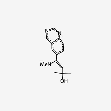 CNC(=CC(C)(C)O)c1ccc2ncncc2c1